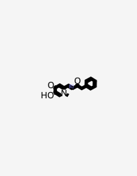 Cn1cc(O)c(=O)cc1/C=C/C(=O)Cc1ccccc1